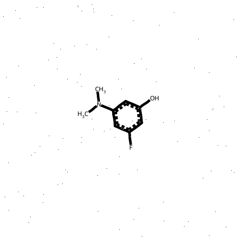 CN(C)c1cc(O)cc(F)c1